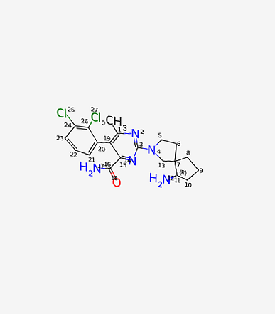 Cc1nc(N2CCC3(CCC[C@H]3N)C2)nc(C(N)=O)c1-c1cccc(Cl)c1Cl